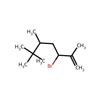 C=C(C)C(Br)CC(C)C(C)(C)C